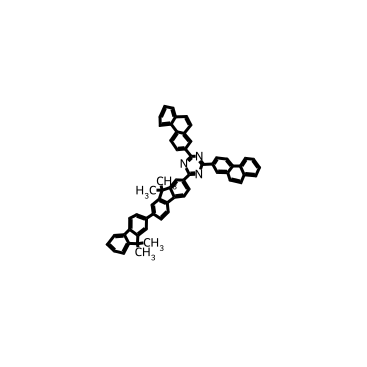 CC1(C)c2ccccc2-c2ccc(-c3ccc4c(c3)C(C)(C)c3cc(-c5nc(-c6ccc7c(ccc8ccccc87)c6)nc(-c6ccc7c(ccc8ccccc87)c6)n5)ccc3-4)cc21